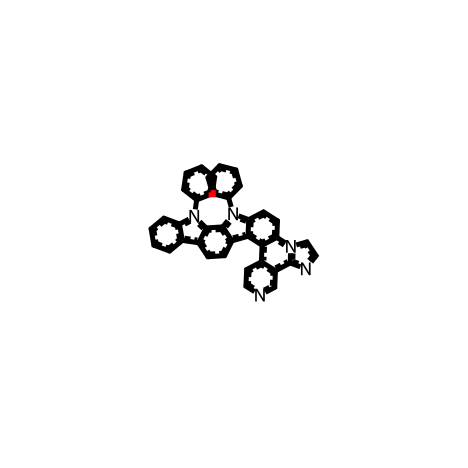 c1ccc(-n2c3ccccc3c3ccc4c5c6c7ccncc7c7nccn7c6ccc5n(-c5ccccc5)c4c32)cc1